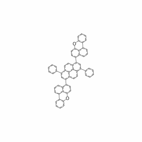 c1ccc(-c2cc(-c3ccc4c5c(cccc35)-c3ccccc3O4)c3ccc4c(-c5ccccc5)cc(-c5ccc6c7c(cccc57)-c5ccccc5O6)c5ccc2c3c45)cc1